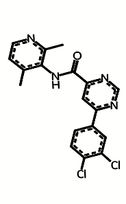 Cc1ccnc(C)c1NC(=O)c1cc(-c2ccc(Cl)c(Cl)c2)ncn1